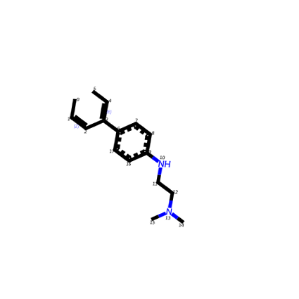 C/C=C\C(=C/C)c1ccc(NCCN(C)C)cc1